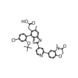 Cc1cc2nc(-c3ccnc(-c4ccc5c(c4)N(C)C(=O)CO5)c3)sc2c(-c2ccc(Cl)cc2OC(C)(C)C)c1CC(=O)O